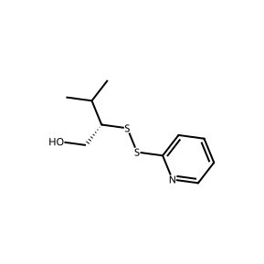 CC(C)[C@@H](CO)SSc1ccccn1